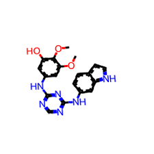 COc1cc(Nc2ncnc(Nc3ccc4cc[nH]c4c3)n2)cc(O)c1OC